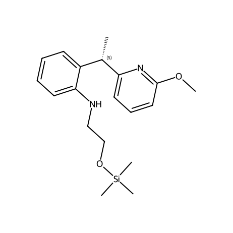 COc1cccc([C@@H](C)c2ccccc2NCCO[Si](C)(C)C)n1